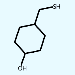 OC1CCC(CS)CC1